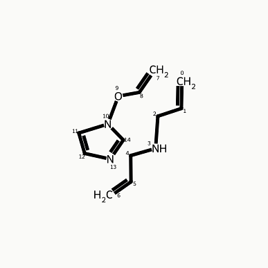 C=CCNCC=C.C=COn1ccnc1